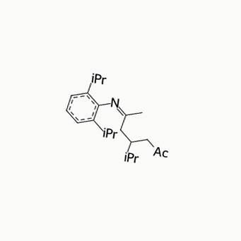 CC(=O)CC(CC(C)=Nc1c(C(C)C)cccc1C(C)C)C(C)C